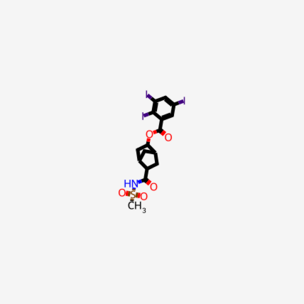 CS(=O)(=O)NC(=O)C1CC2CC1CC2OC(=O)c1cc(I)cc(I)c1I